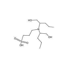 CCCC(CO)N(CCCS(=O)(=O)O)C(CO)CCC